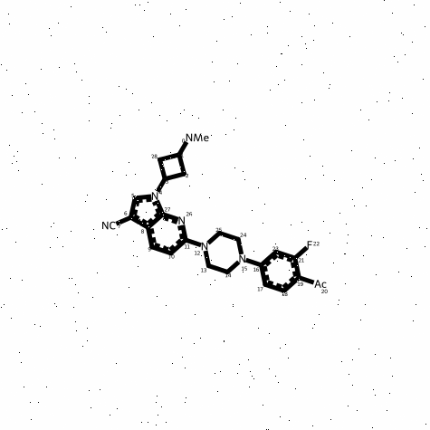 CNC1CC(n2cc(C#N)c3ccc(N4CCN(c5ccc(C(C)=O)c(F)c5)CC4)nc32)C1